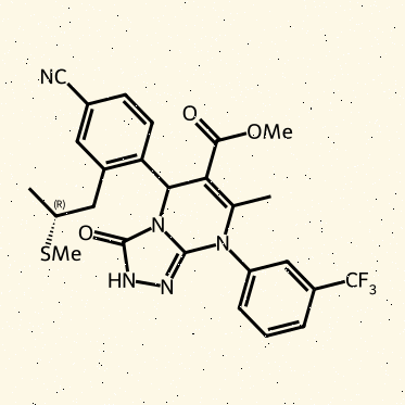 COC(=O)C1=C(C)N(c2cccc(C(F)(F)F)c2)c2n[nH]c(=O)n2C1c1ccc(C#N)cc1C[C@@H](C)SC